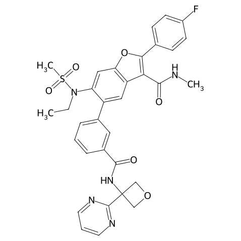 CCN(c1cc2oc(-c3ccc(F)cc3)c(C(=O)NC)c2cc1-c1cccc(C(=O)NC2(c3ncccn3)COC2)c1)S(C)(=O)=O